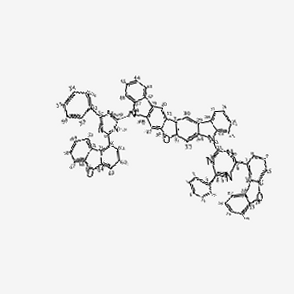 c1ccc(-c2nc(-c3cccc4oc5ccccc5c34)nc(-n3c4ccccc4c4cc5c(cc43)oc3cc4c(cc35)c3ccccc3n4-c3nc(-c4ccccc4)nc(-c4cccc5oc6ccccc6c45)n3)n2)cc1